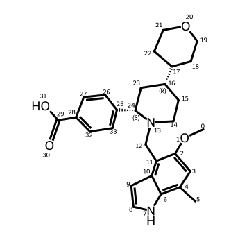 COc1cc(C)c2[nH]ccc2c1CN1CC[C@@H](C2CCOCC2)C[C@H]1c1ccc(C(=O)O)cc1